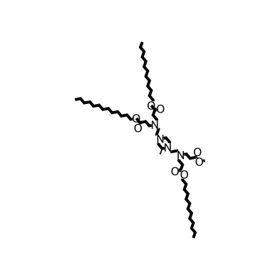 CCCCCCCCCCCCCOC(=O)CCN(CCC(=O)OCCCCCCCCCCCCC)CCN1CCN(CCN(CCC(=O)OC)CCC(=O)OCCCCCCCCCCCCC)[C@@H](C)C1